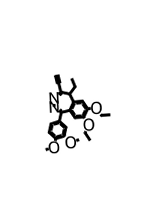 C#CC1=NN=C(c2ccc(OC)c(OC)c2)c2cc(OCC)c(OCC)cc2C1CC